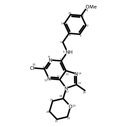 COc1ccc(CNc2nc(Cl)nc3c2nc(C)n3C2CCCCO2)cc1